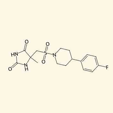 CC1(CS(=O)(=O)N2CCC(c3ccc(F)cc3)CC2)NC(=O)NC1=O